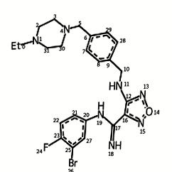 CCN1CCN(Cc2ccc(CNc3nonc3C(=N)Nc3ccc(F)c(Br)c3)cc2)CC1